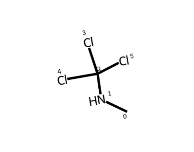 CNC(Cl)(Cl)Cl